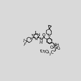 CCOC(=O)CS(=O)(=O)Nc1ccc(C(=O)Nc2nc(C)nc(N3CCC(F)(F)CC3)n2)c(N2CCC3(CC2)CC3)c1